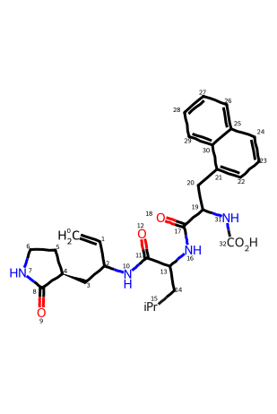 C=CC(C[C@@H]1CCNC1=O)NC(=O)C(CC(C)C)NC(=O)C(Cc1cccc2ccccc12)NC(=O)O